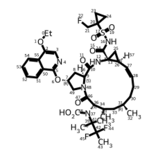 CCOc1cnc(O[C@@H]2C[C@H]3C(=O)N[C@]4(C(=O)NS(=O)(=O)C5(CF)CC5)C[C@H]4C=CCC[C@@H](C)C[C@@H](C)[C@H](N(C(=O)O)C(C)(C)C(C)(F)F)C(=O)N3C2)c2ccccc12